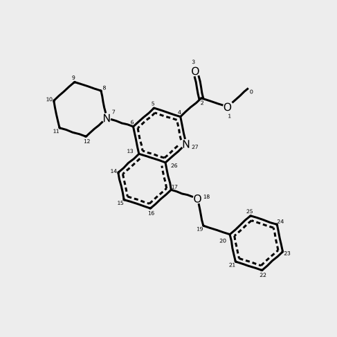 COC(=O)c1cc(N2CCCCC2)c2cccc(OCc3ccccc3)c2n1